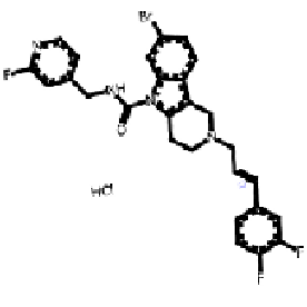 Cl.O=C(NCc1ccnc(F)c1)n1c2c(c3ccc(Br)cc31)CN(C/C=C/c1ccc(F)c(F)c1)CC2